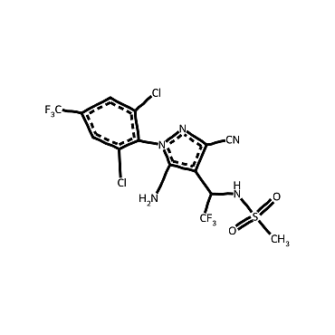 CS(=O)(=O)NC(c1c(C#N)nn(-c2c(Cl)cc(C(F)(F)F)cc2Cl)c1N)C(F)(F)F